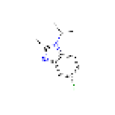 Cc1nc2cc(F)ccc2n1C(C)C